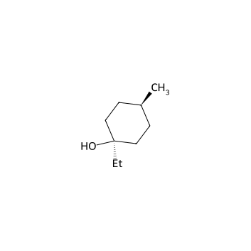 CC[C@]1(O)CC[C@@H](C)CC1